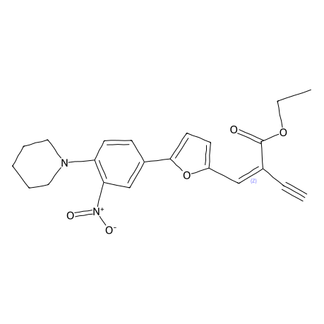 C#C/C(=C/c1ccc(-c2ccc(N3CCCCC3)c([N+](=O)[O-])c2)o1)C(=O)OCC